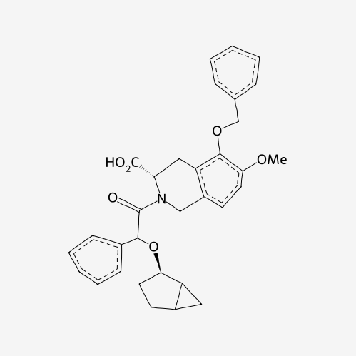 COc1ccc2c(c1OCc1ccccc1)C[C@@H](C(=O)O)N(C(=O)C(O[C@@H]1CCC3CC31)c1ccccc1)C2